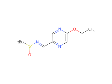 CC(C)(C)[S+]([O-])N=Cc1cnc(OCC(F)(F)F)cn1